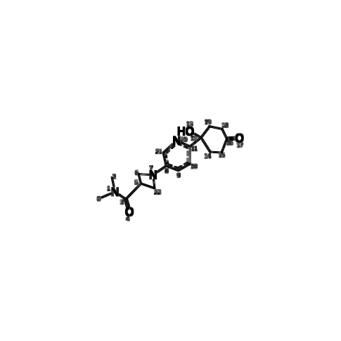 CN(C)C(=O)C1CN(c2ccc(C3(O)CCC(=O)CC3)nc2)C1